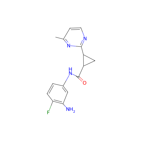 Cc1ccnc(C2CC2C(=O)Nc2ccc(F)c(N)c2)n1